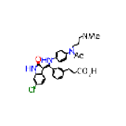 CNCCCN(C(C)=O)c1ccc(N/C(=C2\C(=O)Nc3cc(Cl)ccc32)c2cccc(CCC(=O)O)c2)cc1